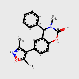 Cc1noc(C)c1-c1ccc2c(c1)C(c1ccccc1)N(C)C(=O)O2